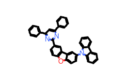 c1ccc(-c2cc(-c3ccccc3)nc(-c3ccc4oc5ccc(-n6c7ccccc7c7ccccc76)cc5c4c3)n2)cc1